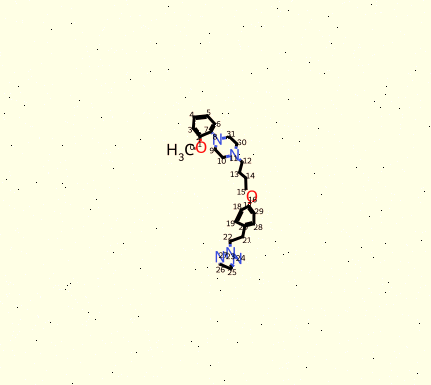 COc1ccccc1N1CCN(CCCCOc2ccc(CCn3nccn3)cc2)CC1